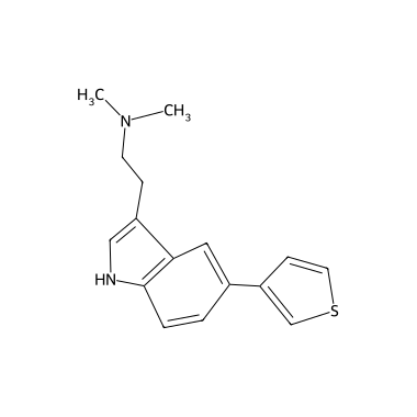 CN(C)CCc1c[nH]c2ccc(-c3ccsc3)cc12